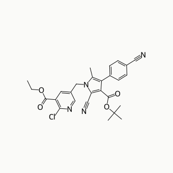 CCOC(=O)c1cc(Cn2c(C)c(-c3ccc(C#N)cc3)c(C(=O)OC(C)(C)C)c2C#N)cnc1Cl